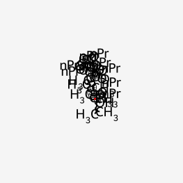 CCCOOC[C@H]1O[C@@H](OC2CC[C@]3(C)C(CC[C@@]4(C)C3C[C@H](OOCCC)C3C([C@@](C)(O)CCC=C(C)C)CC[C@@]34C)C2(C)C)[C@H](OC2O[C@H](COOCCC)[C@@H](OOCCC)[C@H](OOCCC)[C@H]2OOCCC)[C@@H](OOCCC)[C@@H]1OOCCC